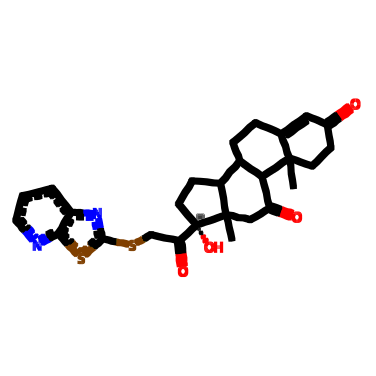 CC12CCC(=O)C=C1CCC1C2C(=O)CC2(C)C1CC[C@]2(O)C(=O)CSc1nc2cccnc2s1